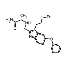 CCOCCn1c(CN[C@@H](C)C(N)=O)nc2ccc(Oc3ccccc3)cc21